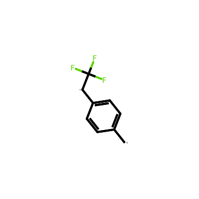 [CH2]c1ccc([CH]C(F)(F)F)cc1